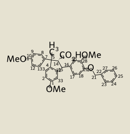 COc1ccc(C(C)(c2ccc(OC)cc2)[C@@H](Cc2ccc(OCc3ccccc3)c(OC)c2)C(=O)O)cc1